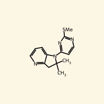 CSc1nccc(N2c3cccnc3CC2(C)C)n1